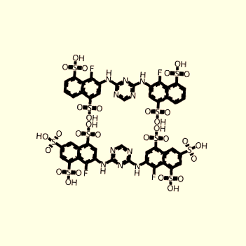 O=S(=O)(O)c1cc(Nc2ncnc(Nc3cc(S(=O)(=O)O)c4cccc(S(=O)(=O)O)c4c3F)n2)c(F)c2c(S(=O)(=O)O)cccc12.O=S(=O)(O)c1cc(S(=O)(=O)O)c2c(F)c(Nc3ncnc(Nc4cc(S(=O)(=O)O)c5cc(S(=O)(=O)O)cc(S(=O)(=O)O)c5c4F)n3)cc(S(=O)(=O)O)c2c1